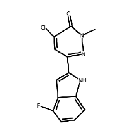 Cn1nc(-c2cc3c(F)cccc3[nH]2)cc(Cl)c1=O